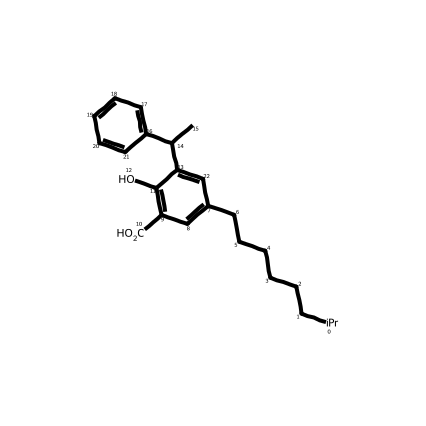 CC(C)CCCCCCc1cc(C(=O)O)c(O)c(C(C)c2ccccc2)c1